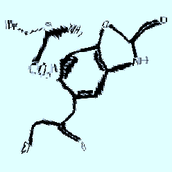 CC(C)[C@H](N)C(=O)O.O=C(CCl)c1ccc2oc(=O)[nH]c2c1